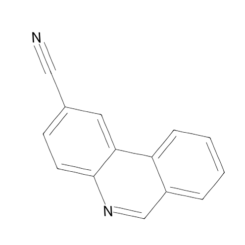 N#Cc1ccc2ncc3ccccc3c2c1